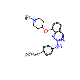 CC(=O)Nc1ccc(Nc2ncc3cccc(OC4CCN(C(C)C)CC4)c3n2)cc1